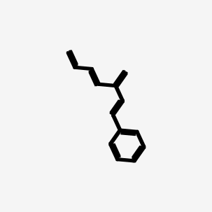 C=CC=CC(=C)C=Cc1ccccc1